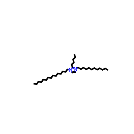 CCCCCCCCCCCCCCCN1C=CN(CCCCCCCCCCCC)C1CCCCC